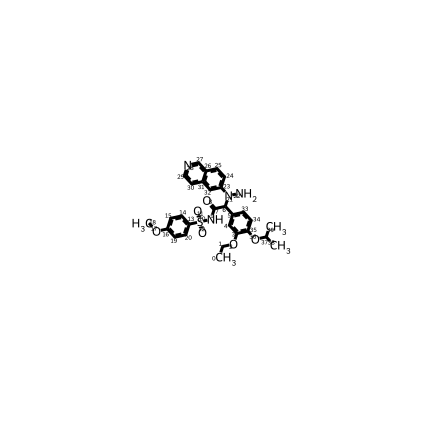 CCOc1cc(C(C(=O)NS(=O)(=O)c2ccc(OC)cc2)N(N)c2ccc3cnccc3c2)ccc1OC(C)C